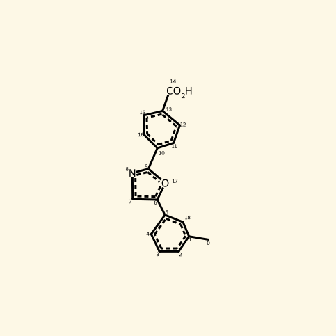 Cc1cccc(-c2cnc(-c3ccc(C(=O)O)cc3)o2)c1